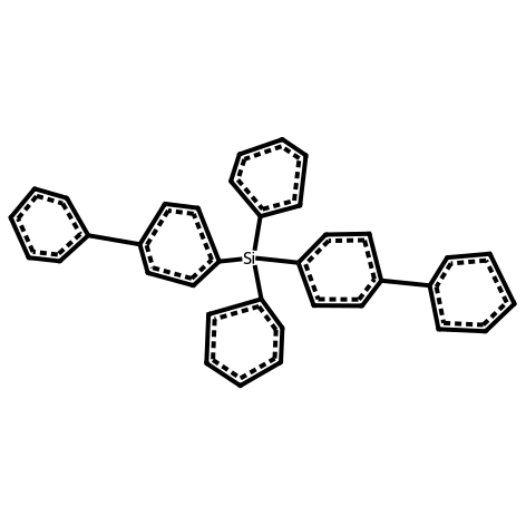 c1ccc(-c2ccc([Si](c3ccccc3)(c3ccccc3)c3ccc(-c4ccccc4)cc3)cc2)cc1